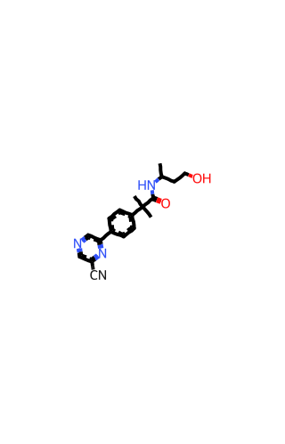 CC(CCO)NC(=O)C(C)(C)c1ccc(-c2cncc(C#N)n2)cc1